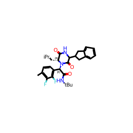 Cc1ccc([C@H](C(=O)NC(C)(C)C)N2C(=O)C(C3Cc4ccccc4C3)NC(=O)[C@H]2CC(C)C)c(F)c1F